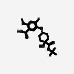 COc1cc(F)c(O[C@H]2CC[C@@](O)(C(=O)OC(C)(C)C)CC2)cc1C(=O)O